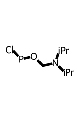 CC(C)N(CO[P]Cl)C(C)C